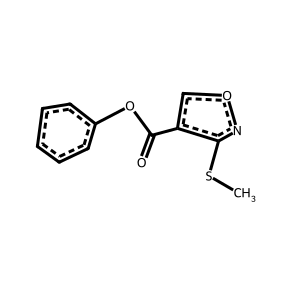 CSc1nocc1C(=O)Oc1ccccc1